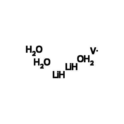 O.O.O.[LiH].[LiH].[V]